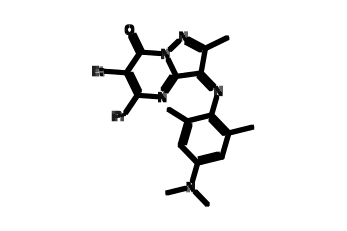 CCc1c(C(C)C)nc2n(c1=O)N=C(C)C2=Nc1c(C)cc(N(C)C)cc1C